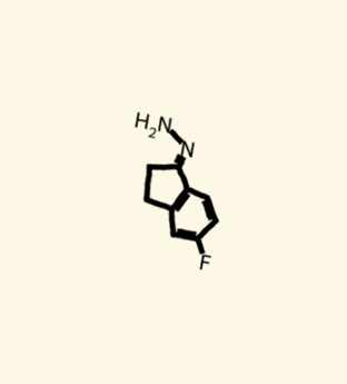 N/N=C1\CCc2cc(F)ccc21